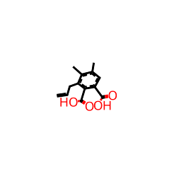 C=CCc1c(C)c(C)cc(C(=O)O)c1C(=O)O